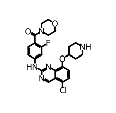 O=C(c1ccc(Nc2ncc3c(Cl)ccc(OC4CCNCC4)c3n2)cc1F)N1CCOCC1